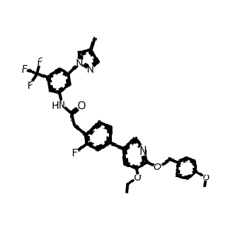 CCOc1cc(-c2ccc(CC(=O)Nc3cc(-n4cc(C)cn4)cc(C(F)(F)F)c3)c(F)c2)cnc1OCc1ccc(OC)cc1